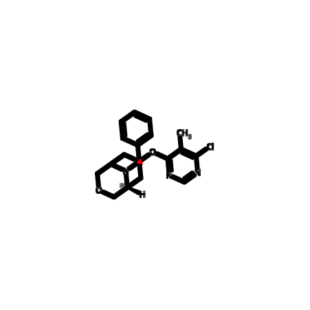 Cc1c(Cl)ncnc1OC1CC2COC[C@@H](C1)N2Cc1ccccc1